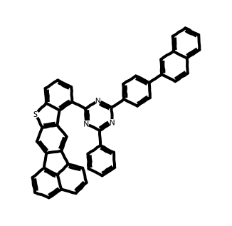 c1ccc(-c2nc(-c3ccc(-c4ccc5ccccc5c4)cc3)nc(-c3cccc4sc5cc6c(cc5c34)-c3cccc4cccc-6c34)n2)cc1